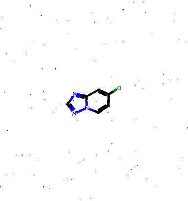 Clc1ccn2n[c]nc2c1